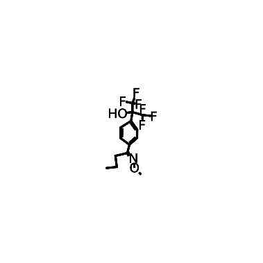 CCCC(=NOC)c1ccc(C(O)(C(F)(F)F)C(F)(F)F)cc1